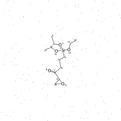 CCO[Si](CCCC(=O)C1CO1)(OCC)OCC